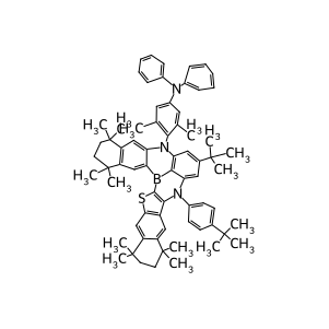 Cc1cc(N(c2ccccc2)c2ccccc2)cc(C)c1N1c2cc3c(cc2B2c4sc5cc6c(cc5c4N(c4ccc(C(C)(C)C)cc4)c4cc(C(C)(C)C)cc1c42)C(C)(C)CCC6(C)C)C(C)(C)CCC3(C)C